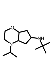 CC(C)N1CCOC2CC(NC(C)(C)C)CC21